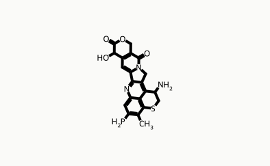 Cc1c(P)cc2nc3c(c4c2c1SCC4N)Cn1c-3cc2c(c1=O)COC(=O)C2O